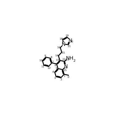 Cc1cccc2c(-c3ccccc3)c(CCCn3ccnc3)c(N)nc12